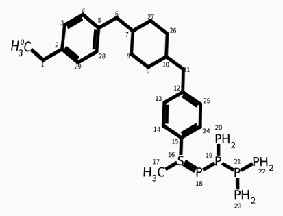 CCc1ccc(CC2CCC(Cc3ccc(/S(C)=P\P(P)P(P)P)cc3)CC2)cc1